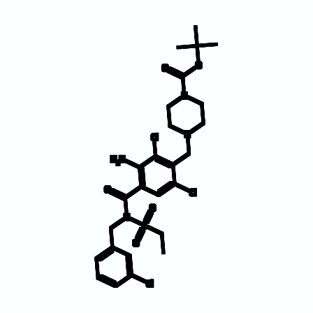 CCS(=O)(=O)N(Cc1cccc(Cl)c1)C(=O)c1cc(Cl)c(CN2CCN(C(=O)OC(C)(C)C)CC2)c(Cl)c1N